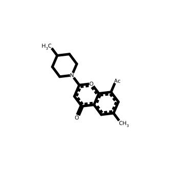 CC(=O)c1cc(C)cc2c(=O)cc(N3CCC(C)CC3)oc12